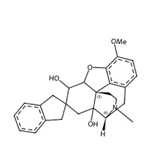 COc1ccc2c3c1OC1C(O)C4(Cc5ccccc5C4)CC4(O)[C@@H](C2)N(C)CC[C@]314